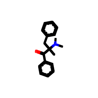 CN(C)C(C)(Cc1ccccc1)C(=O)c1ccccc1